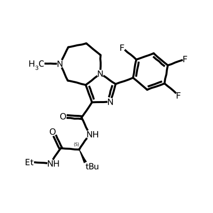 CCNC(=O)[C@@H](NC(=O)c1nc(-c2cc(F)c(F)cc2F)n2c1CN(C)CCC2)C(C)(C)C